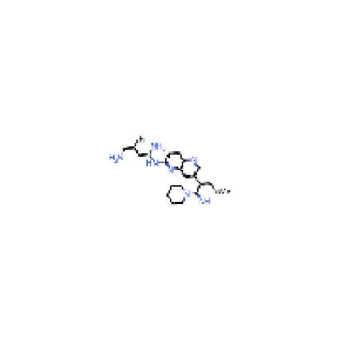 CN/C=C(\C(=N)N1CCCCC1)c1cnc2ccc(N/C(N)=C/C(=C\N)C(C)C)nc2c1